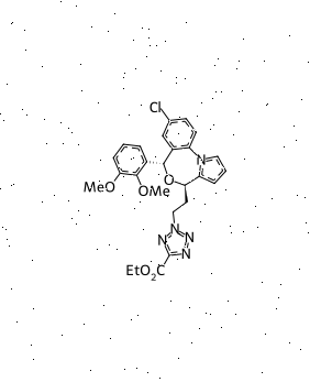 CCOC(=O)c1nnn(CC[C@H]2O[C@H](c3cccc(OC)c3OC)c3cc(Cl)ccc3-n3cccc32)n1